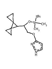 CC(C)(C)[Si](C)(C)OC(COc1cc[nH]n1)C1C2(CC2)C12CC2